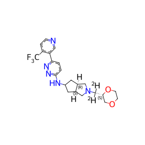 [2H]C([2H])([C@H]1COCCO1)N1C[C@H]2CC(Nc3ccc(-c4cnccc4C(F)(F)F)nn3)C[C@H]2C1